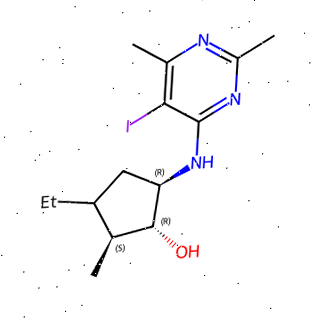 CCC1C[C@@H](Nc2nc(C)nc(C)c2I)[C@H](O)[C@H]1C